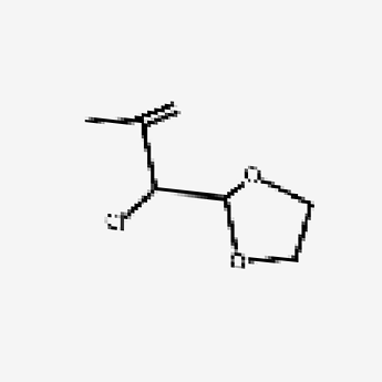 C=C(C)C(Cl)C1OCCO1